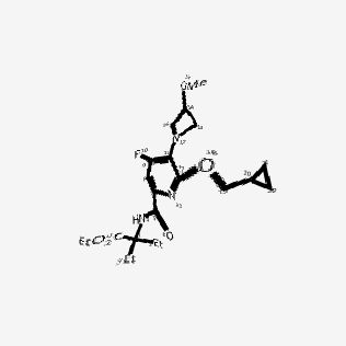 CCOC(=O)C(CC)(CC)NC(=O)c1cc(F)c(N2CC(OC)C2)c(OCC2CC2)n1